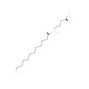 CCCCCCCCCCCC(=O)NCCCC(C)=O